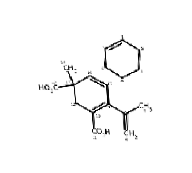 C1=CCCCC1.C=C(C)C1=C(C(=O)O)CC(C)(C(=O)O)C=C1